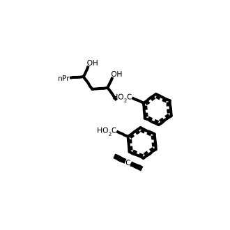 C=C=C.CCCC(O)CC(C)O.O=C(O)c1ccccc1.O=C(O)c1ccccc1